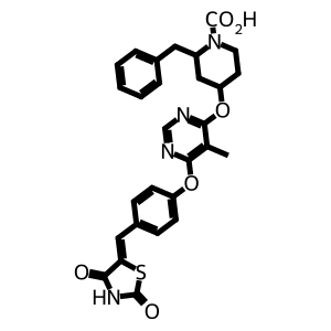 Cc1c(Oc2ccc(/C=C3\SC(=O)NC3=O)cc2)ncnc1OC1CCN(C(=O)O)C(Cc2ccccc2)C1